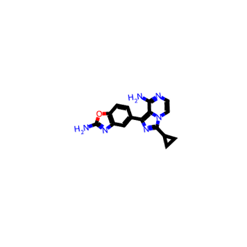 Nc1nc2cc(-c3nc(C4CC4)n4ccnc(N)c34)ccc2o1